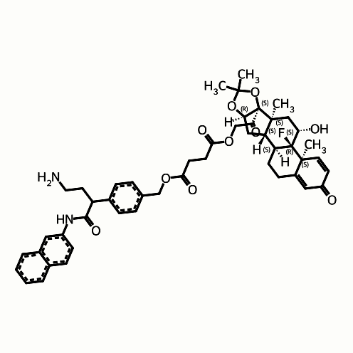 CC1(C)O[C@@H]2C[C@H]3[C@@H]4CCC5=CC(=O)C=C[C@]5(C)[C@@]4(F)[C@@H](O)C[C@]3(C)[C@]2(C(=O)COC(=O)CCC(=O)OCc2ccc(C(CCN)C(=O)Nc3ccc4ccccc4c3)cc2)O1